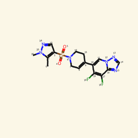 Cc1c(S(=O)(=O)N2CC=C(c3cn4ncnc4c(F)c3F)CC2)cnn1C